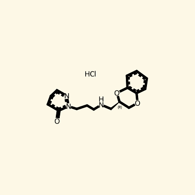 Cl.O=c1cccnn1CCCNC[C@@H]1COc2ccccc2O1